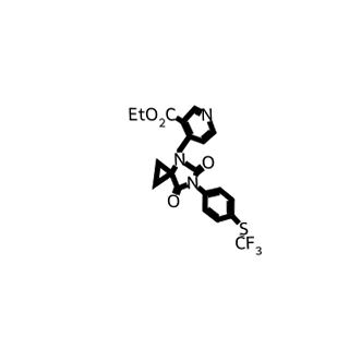 CCOC(=O)c1cnccc1CN1C(=O)N(c2ccc(SC(F)(F)F)cc2)C(=O)C12CC2